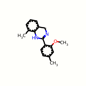 COc1cc(C)ccc1C1=N[CH]c2cccc(C)c2N1